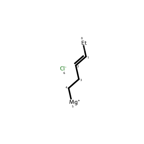 CCC=CC[CH2][Mg+].[Cl-]